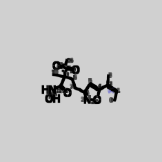 C/C=C(/C)c1cc(CCC(C)(C(=O)NO)S(C)(=O)=O)no1